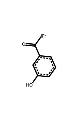 CC(C)C(=O)c1cccc(O)c1